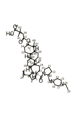 C=C(C)[C@@H]1CC[C@]2(C(=O)N3CCC[C@H]3CN3CCN(CC)CC3)CC[C@]3(C)[C@H](CC[C@@H]4[C@@]5(C)CC[C@H](OC(=O)CC(C)(C)C(=O)O)C(C)(C)[C@@H]5CC[C@]43C)[C@@H]12